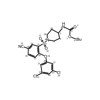 CC(C)(C)OC(=O)NC1CCN(S(=O)(=O)c2cc(C#N)ccc2Oc2cc(Cl)cc(Cl)c2)CC1